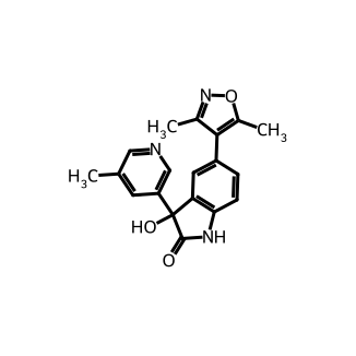 Cc1cncc(C2(O)C(=O)Nc3ccc(-c4c(C)noc4C)cc32)c1